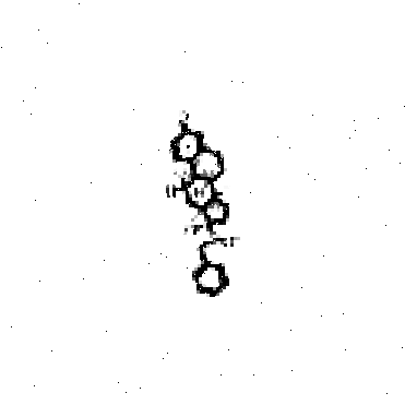 C[C@]12C=CC(=O)C=C1CC[C@H]1[C@@H]3CC[C@](Cl)([S+]([O-])Cc4ccccc4)[C@@]3(C)C[C@@H]3O[C@@]312